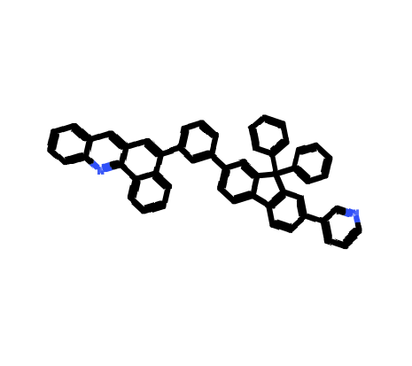 c1ccc(C2(c3ccccc3)c3cc(-c4cccnc4)ccc3-c3ccc(-c4cccc(-c5cc6cc7ccccc7nc6c6ccccc56)c4)cc32)cc1